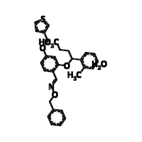 Cc1ccccc1C(CCC(=O)O)Oc1cc(OCc2ccsc2)ccc1/C=N/OCc1ccccc1.O